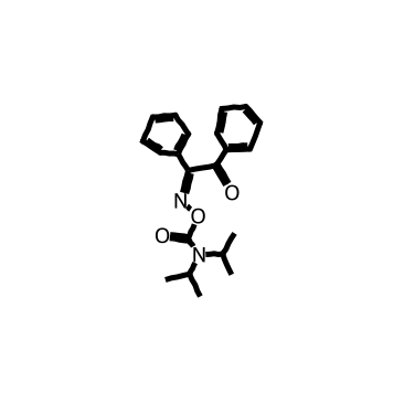 CC(C)N(C(=O)O/N=C(\C(=O)c1ccccc1)c1ccccc1)C(C)C